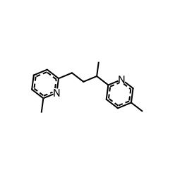 Cc1ccc(C(C)CCc2cccc(C)n2)nc1